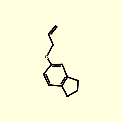 C=CCOc1ccc2c(c1)CCC2